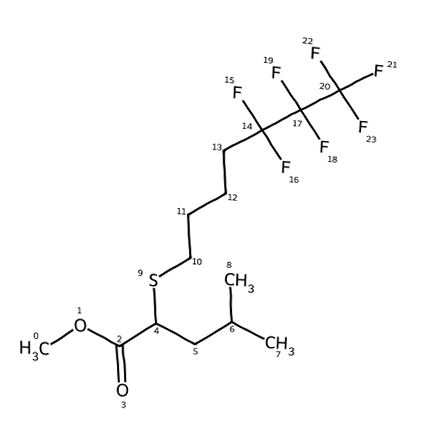 COC(=O)C(CC(C)C)SCCCCC(F)(F)C(F)(F)C(F)(F)F